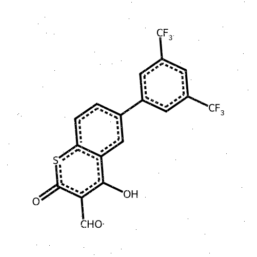 O=[C]c1c(O)c2cc(-c3cc(C(F)(F)F)cc(C(F)(F)F)c3)ccc2sc1=O